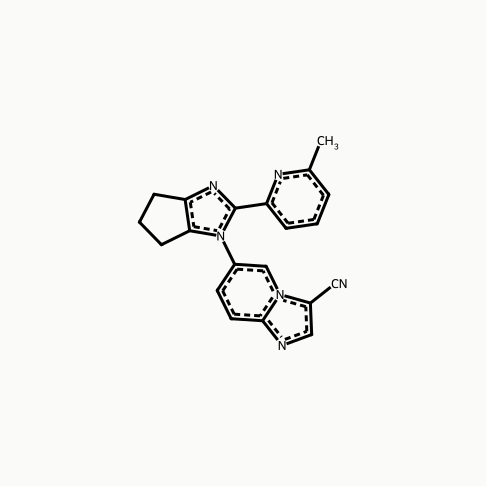 Cc1cccc(-c2nc3c(n2-c2ccc4ncc(C#N)n4c2)CCC3)n1